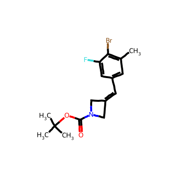 Cc1cc(C=C2CN(C(=O)OC(C)(C)C)C2)cc(F)c1Br